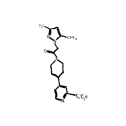 Cc1cc(C(F)(F)F)nn1CC(=O)N1CCC(c2ccnc(C(=O)O)c2)CC1